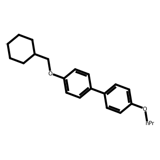 CCCOc1ccc(-c2ccc(OCC3CC[CH]CC3)cc2)cc1